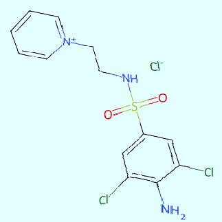 Nc1c(Cl)cc(S(=O)(=O)NCC[n+]2ccccc2)cc1Cl.[Cl-]